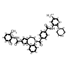 Cc1cnc(N2CCSCC2)c(NC(=O)c2ccc(C(=O)N3CCc4cc(C(=O)Nc5c(C)cccc5F)sc4-c4ccccc43)cc2)c1